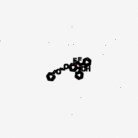 OC(c1ccccc1)(c1ccc(OCCOCc2ccccc2)cc1)C(c1ccccc1)C(F)(F)F